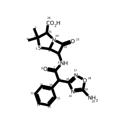 CC1(C)SC2C(NC(=O)C(c3ccccc3)c3noc(N)n3)C(=O)N2C1C(=O)O